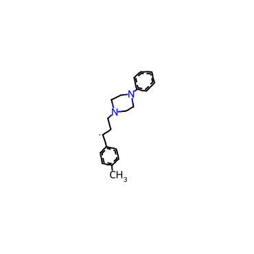 Cc1ccc([CH]CCN2CCN(c3ccccc3)CC2)cc1